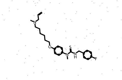 C=CCN(C)CCCCCCOc1ccc(N(C)C(=S)NCc2ccc(F)cc2)cc1